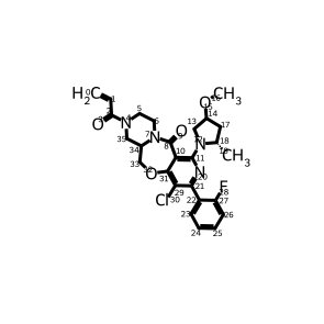 C=CC(=O)N1CCN2C(=O)c3c(N4CC(OC)C[C@@H]4C)nc(-c4ccccc4F)c(Cl)c3OCC2C1